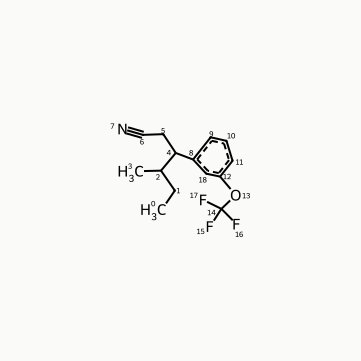 CCC(C)C(CC#N)c1cccc(OC(F)(F)F)c1